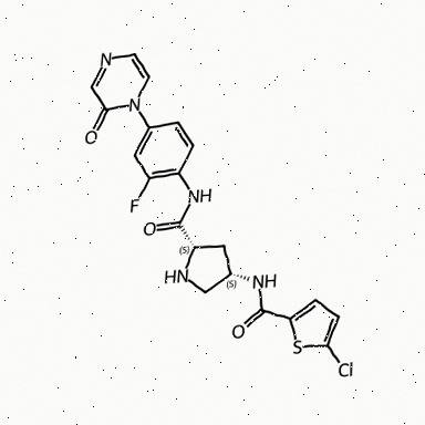 O=C(N[C@@H]1CN[C@H](C(=O)Nc2ccc(-n3ccncc3=O)cc2F)C1)c1ccc(Cl)s1